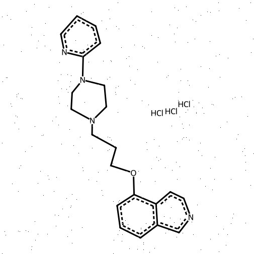 Cl.Cl.Cl.c1ccc(N2CCN(CCCOc3cccc4cnccc34)CC2)nc1